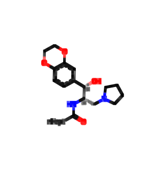 CCCCCCCC(=O)N[C@@H](CN1CCCC1)[C@@H](O)c1ccc2c(c1)OCCO2